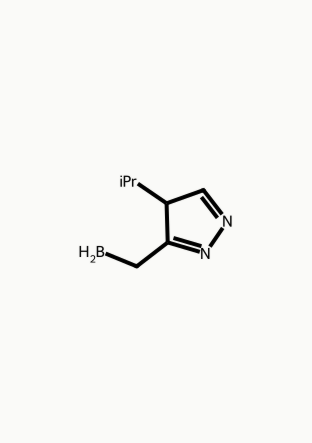 BCC1=NN=CC1C(C)C